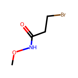 CONC(=O)CCBr